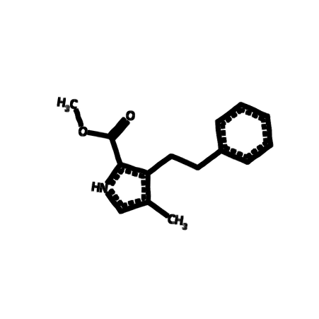 COC(=O)c1[nH]cc(C)c1CCc1ccccc1